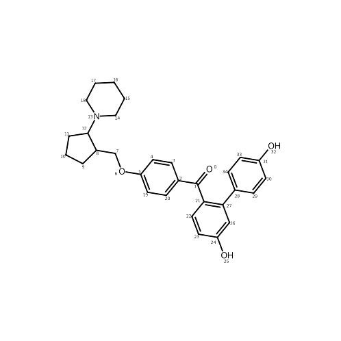 O=C(c1ccc(OCC2CCCC2N2CCCCC2)cc1)c1ccc(O)cc1-c1ccc(O)cc1